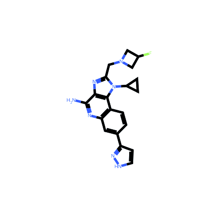 Nc1nc2cc(-c3cc[nH]n3)ccc2c2c1nc(CN1CC(F)C1)n2C1CC1